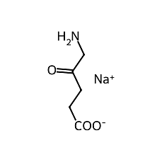 NCC(=O)CCC(=O)[O-].[Na+]